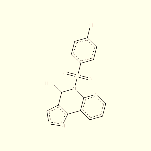 CC1c2cn[nH]c2-c2cccnc2N1S(=O)(=O)c1ccc(Cl)cc1